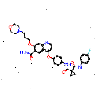 NC(=O)c1cc2c(Oc3ccc(NC(=O)C4(C(=O)Nc5ccc(F)cc5)CC4)cc3)ccnc2cc1OCCCN1CCOCC1